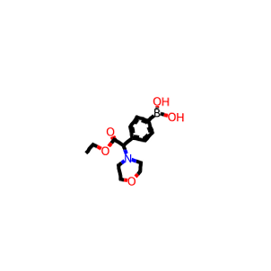 CCOC(=O)C(c1ccc(B(O)O)cc1)N1CCOCC1